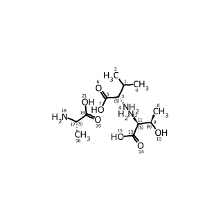 CC(C)[C@H](N)C(=O)O.C[C@@H](O)[C@H](N)C(=O)O.C[C@H](N)C(=O)O